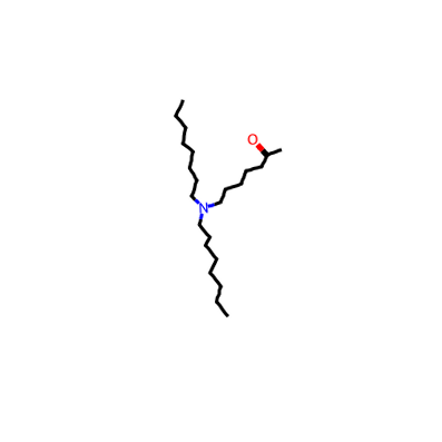 CCCCCCCCN(CCCCCCCC)CCCCCC(C)=O